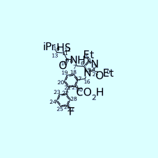 CCOc1nc(CC)c(CNC(=O)[C@@H](S)CC(C)C)n1Cc1cccc(-c2cccc(F)c2)c1C(=O)O